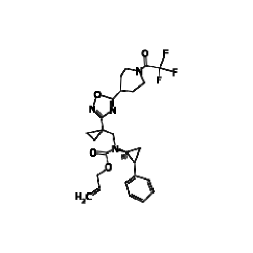 C=CCOC(=O)N(CC1(c2noc(C3CCN(C(=O)C(F)(F)F)CC3)n2)CC1)[C@H]1CC1c1ccccc1